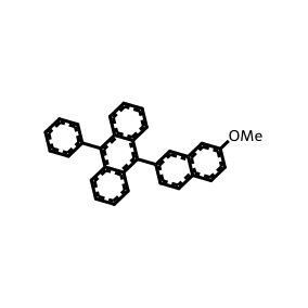 COc1ccc2ccc(-c3c4ccccc4c(-c4ccccc4)c4ccccc34)cc2c1